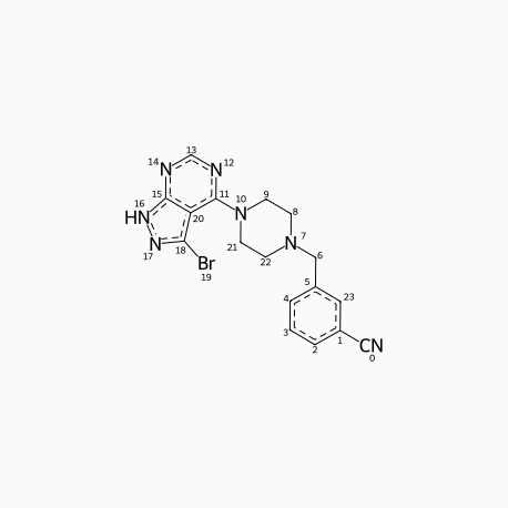 N#Cc1cccc(CN2CCN(c3ncnc4[nH]nc(Br)c34)CC2)c1